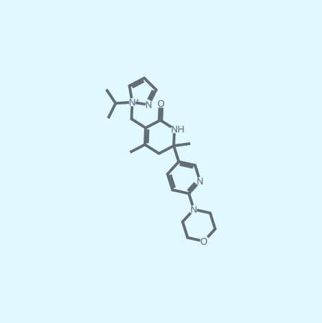 CC1=C(C[N+]2(C(C)C)C=CC=N2)C(=O)NC(C)(c2ccc(N3CCOCC3)nc2)C1